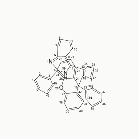 c1ccc(C2N=c3ccccc3=C(c3cccc4c3C3(c5ccccc5Oc5ccccc53)c3ccccc3-4)N2)cc1